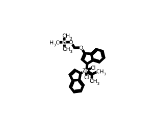 C[C](C)=[Zr]([Cl])([Cl])([CH]1C=Cc2ccccc21)[CH]1C=C(OCO[Si](C)(C)C)c2ccccc21